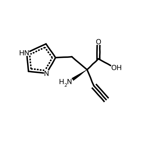 C#C[C@](N)(Cc1c[nH]cn1)C(=O)O